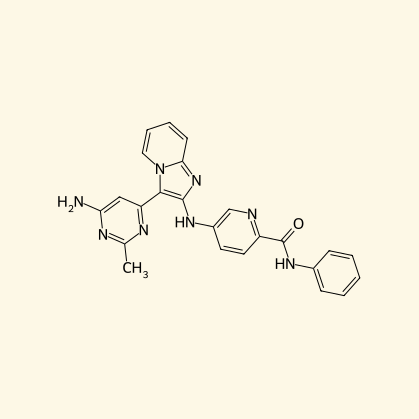 Cc1nc(N)cc(-c2c(Nc3ccc(C(=O)Nc4ccccc4)nc3)nc3ccccn23)n1